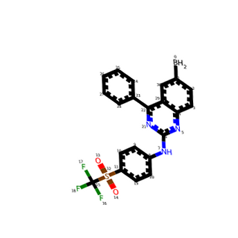 Bc1ccc2nc(Nc3ccc(S(=O)(=O)C(F)(F)F)cc3)nc(-c3ccccc3)c2c1